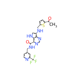 CC(=O)c1ccc(CNc2c[nH]c3c(C(=O)NCc4ccnc(C(F)(F)F)c4)ncnc23)s1